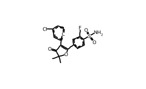 CC1(C)OC(c2ccc(S(N)(=O)=O)c(F)c2)=C(c2cccc(Cl)c2)C1=O